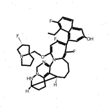 CCc1c(F)ccc2cc(O)cc(C3=C(F)C=C(OC[C@@]45CCCN4C[C@H](F)C5)N4C5=NCN6N[C@H]7CCC6=C5[C@H]7CCCC4=C3F)c12